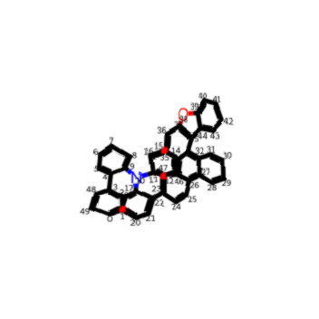 c1ccc(-c2ccccc2N(c2ccccc2)c2ccccc2-c2ccc3c4ccccc4c4c(ccc5oc6ccccc6c54)c3c2)cc1